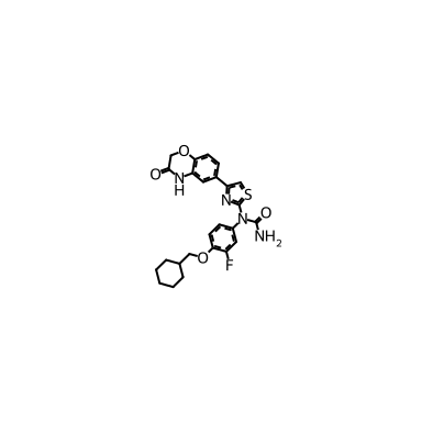 NC(=O)N(c1ccc(OCC2CCCCC2)c(F)c1)c1nc(-c2ccc3c(c2)NC(=O)CO3)cs1